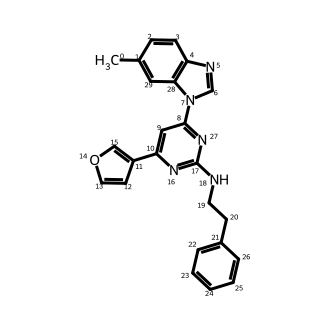 Cc1ccc2ncn(-c3cc(-c4ccoc4)nc(NCCc4ccccc4)n3)c2c1